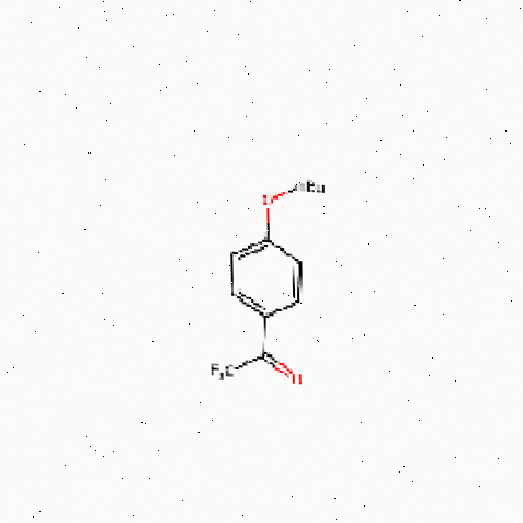 CCCCOc1ccc(C(=O)C(F)(F)F)cc1